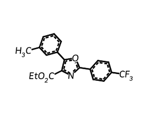 CCOC(=O)c1nc(-c2ccc(C(F)(F)F)cc2)oc1-c1cccc(C)c1